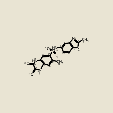 Cc1nc2cc(NS(=O)(=O)c3cc4[nH]c(=O)c(=O)[nH]c4cc3C)ccc2s1